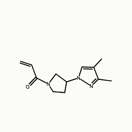 C=CC(=O)N1CCC(n2cc(C)c(C)n2)C1